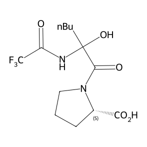 CCCCC(O)(NC(=O)C(F)(F)F)C(=O)N1CCC[C@H]1C(=O)O